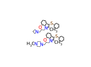 Cc1c(Sc2ccccc2)c2cccc3c2n1CC(CN1CCC1)O3.Cc1c(Sc2ccccc2)c2cccc3c2n1CC(CN1CCN(C)CC1)O3